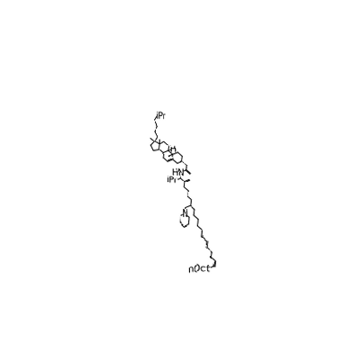 C=C(CC1CCC2(C)C(=CCC3C4CCC(C)(CCCCC(C)C)C4(C)CC[C@@H]32)C1)NC(C(=C)CCCCC(CCCCCCCCCC/C=C\CCCCCCCC)CN1CCCCC1)C(C)C